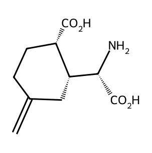 C=C1CC[C@H](C(=O)O)[C@H]([C@H](N)C(=O)O)C1